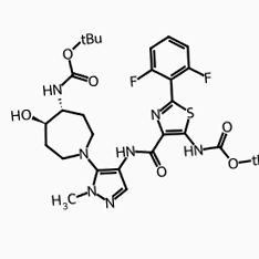 Cn1ncc(NC(=O)c2nc(-c3c(F)cccc3F)sc2NC(=O)OC(C)(C)C)c1N1CC[C@@H](O)[C@H](NC(=O)OC(C)(C)C)CC1